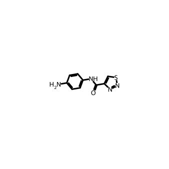 Nc1ccc(NC(=O)c2csnn2)cc1